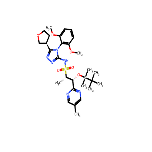 COc1cccc(OC)c1-n1c(NS(=O)(=O)[C@@H](C)[C@H](O[Si](C)(C)C(C)(C)C)c2ncc(C)cn2)nnc1[C@@H]1CCOC1